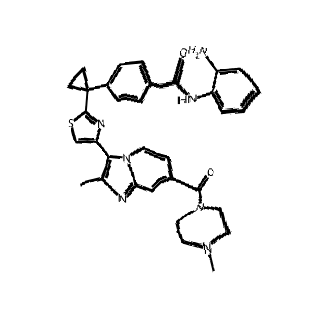 Cc1nc2cc(C(=O)N3CCN(C)CC3)ccn2c1-c1csc(C2(c3ccc(C(=O)Nc4ccccc4N)cc3)CC2)n1